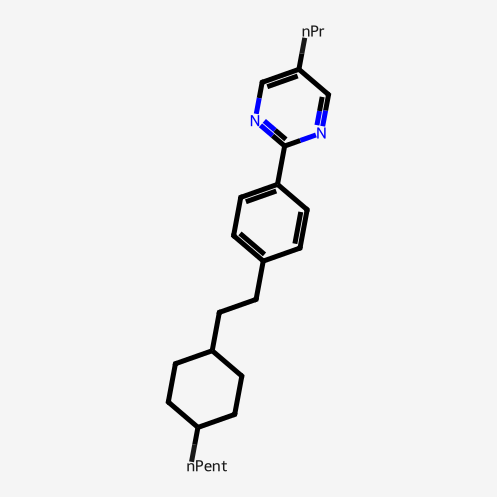 CCCCCC1CCC(CCc2ccc(-c3ncc(CCC)cn3)cc2)CC1